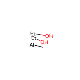 CCO.CCO.[CH3][Al]